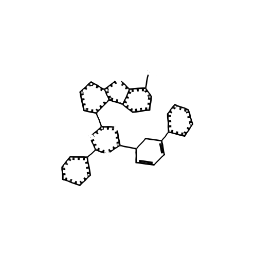 Nc1cccc2c1oc1cccc(-c3nc(-c4ccccc4)nc(C4C=CC=C(c5ccccc5)C4)n3)c12